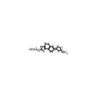 CCCCCCOc1nc2c(s1)-c1ccc(C3CCC(N)C3)cc1CC2